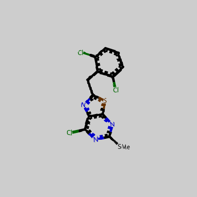 CSc1nc(Cl)c2nc(Cc3c(Cl)cccc3Cl)sc2n1